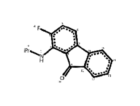 CC(C)Nc1c(F)ccc2c1C(=O)c1ccccc1-2